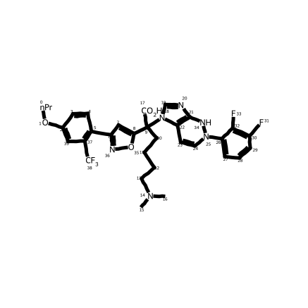 CCCOc1ccc(-c2cc(C(CCCCN(C)C)(C(=O)O)n3cnc4c3C=CN(c3cccc(F)c3F)N4)on2)c(C(F)(F)F)c1